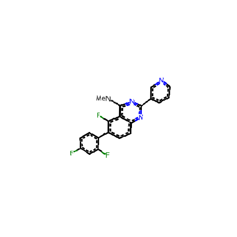 CNc1nc(-c2cccnc2)nc2ccc(-c3ccc(F)cc3F)c(F)c12